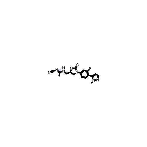 C/C(=N\C#N)NCC1CN(c2ccc(-c3ccnn3C)c(F)c2)C(=O)O1